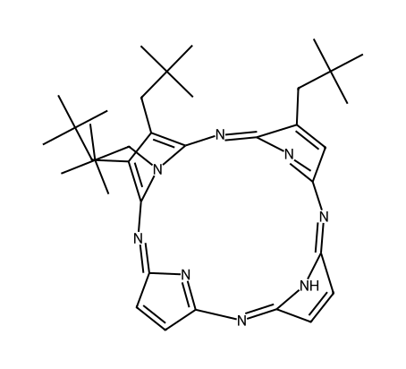 CC(C)(C)CC1=Cc2nc1nc1c(CC(C)(C)C)c(CC(C)(C)C)c(nc3nc(nc4ccc(n2)[nH]4)C=C3)n1CC(C)(C)C